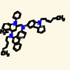 C=C/C=C\C=C/N(/C(C=C)=C/C(=C\N(c1ccc(-c2ccccc2)cc1)c1ccc2c(c1)c1ccccc1n2/C=C\C=C/C=C)N(C1=CC=CCC1)c1ccccc1)c1ccccc1